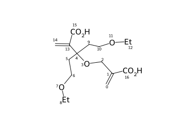 C=C(COC(CCOCC)(CCOCC)C(=C)C(=O)O)C(=O)O